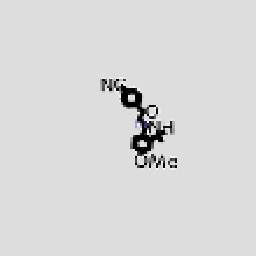 COc1ccc2c(c1)C(C)(C)N/C2=C\C(=O)c1ccc(C#N)cc1